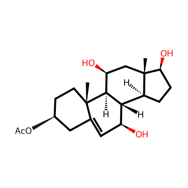 CC(=O)O[C@H]1CC[C@@]2(C)C(=C[C@H](O)[C@@H]3[C@@H]2[C@@H](O)C[C@]2(C)[C@@H](O)CC[C@@H]32)C1